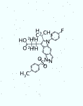 [2H]C([2H])(C(=O)O)C([2H])([2H])c1c(C(C)C)n(-c2ccc(F)cc2)c2cc3cnn(S(=O)(=O)c4ccc(C)cc4)c3cc12